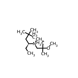 CC[C@@H](CC(C)(C)C)N(C)CC(C)(C)OC